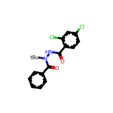 CC(C)(C)N(NC(=O)c1ccc(Cl)cc1Cl)C(=O)c1ccccc1